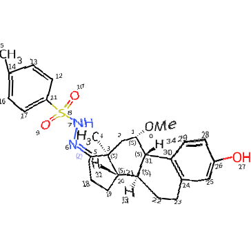 CO[C@H]1C[C@]2(C)/C(=N\NS(=O)(=O)c3ccc(C)cc3)CC[C@H]2[C@@H]2CCc3cc(O)ccc3[C@H]21